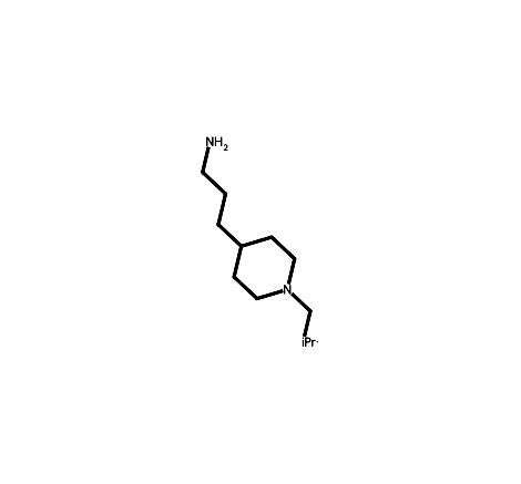 C[C](C)CN1CCC(CCCN)CC1